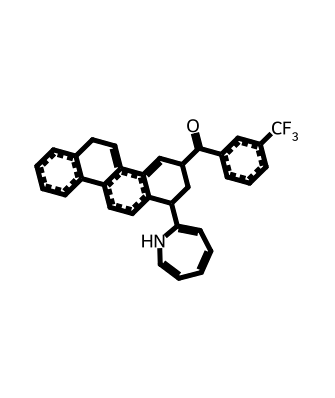 O=C(c1cccc(C(F)(F)F)c1)C1C=c2c(ccc3c2=CCc2ccccc2-3)C(C2=CC=CC=CN2)C1